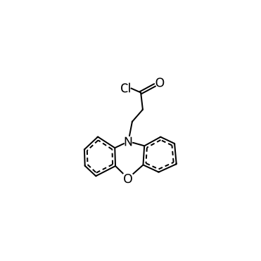 O=C(Cl)CCN1c2ccccc2Oc2ccccc21